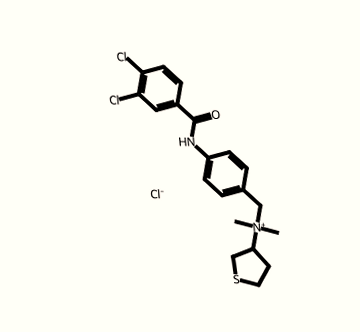 C[N+](C)(Cc1ccc(NC(=O)c2ccc(Cl)c(Cl)c2)cc1)C1CCSC1.[Cl-]